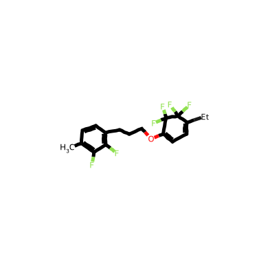 CCC1=CC=C(OCCCc2ccc(C)c(F)c2F)C(F)(F)C1(F)F